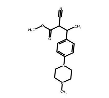 COC(=O)C(C#N)C(C)c1ccc(N2CCN(C)CC2)cc1